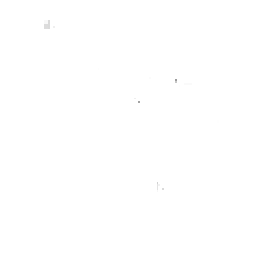 CCC(C)CC1CCC(n2cc(CNCC(=O)O)c(=O)[nH]c2=O)O1